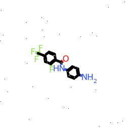 Nc1ccc(NC(=O)c2ccc(C(F)(F)F)cc2F)cc1